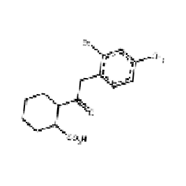 CCc1cc(C)ccc1CC(=O)C1CCCCC1C(=O)O